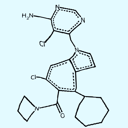 Nc1ncnc(-n2ccc3c(C4CCCCC4)c(C(=O)N4CCC4)c(Cl)cc32)c1Cl